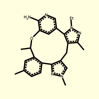 CCn1nc(C)c2c1-c1cnc(N)c(c1)OC(C)c1cc(C)ccc1-c1nn(C)cc1C2